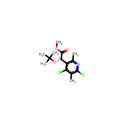 COC(=O)[C@@H](OC(C)(C)C)c1c(C)nc(Cl)c(C)c1Cl